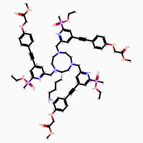 CCOP(C)(=O)c1cc(C#Cc2ccc(OCC(=O)OC)cc2)cc(CN2CCN(Cc3cc(C#Cc4ccc(OCC(=O)OC)cc4)cc(P(C)(=O)OCC)n3)C[C@H](CCCCN)N(Cc3cc(C#Cc4ccc(OCC(=O)OC)cc4)cc(P(C)(=O)OCC)n3)CC2)n1